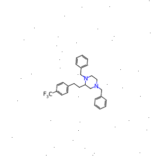 FC(F)(F)c1ccc(CCC2CN(Cc3ccccc3)CCN2Cc2ccccc2)cc1